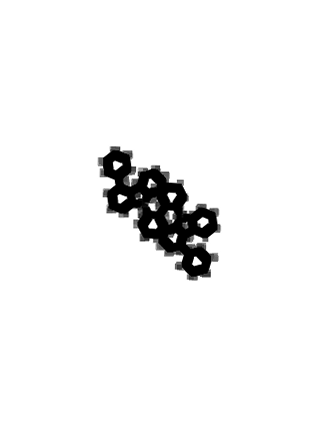 C1=Cc2c(n(-c3ccccc3-c3ccccc3-n3c4ccccc4c4c(-c5ccccc5)cccc43)c3cccc(-c4ccccc4)c23)CC1